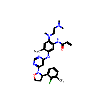 C=CC(=O)Nc1cc(Nc2cc(N3OCCC3c3cccc(C(F)(F)F)c3F)ncn2)c(OC)cc1N(C)CCN(C)C